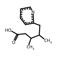 CC(CC(=O)O)C(C)Cc1ccccn1